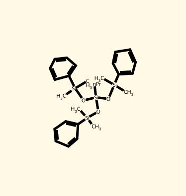 [CH2]CC[Si](O[Si](C)(C)c1ccccc1)(O[Si](C)(C)c1ccccc1)O[Si](C)(C)c1ccccc1